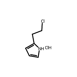 Cl.ClCCc1ccc[nH]1